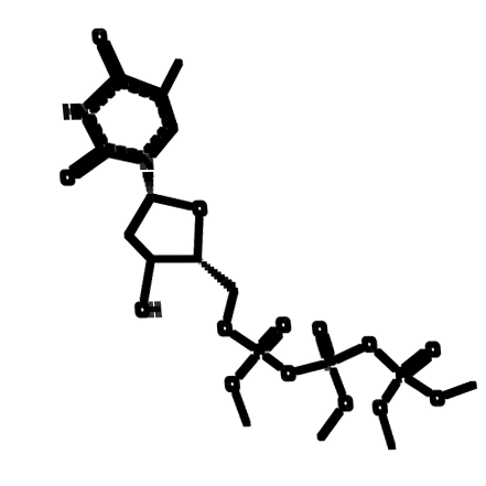 COP(=O)(OC)OP(=O)(OC)OP(=O)(OC)OC[C@H]1O[C@@H](n2cc(C)c(=O)[nH]c2=O)CC1O